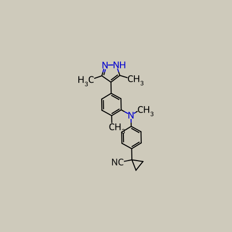 Cc1ccc(-c2c(C)n[nH]c2C)cc1N(C)c1ccc(C2(C#N)CC2)cc1